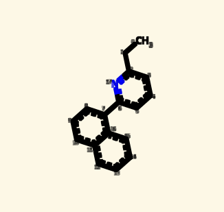 CCc1cccc(-c2cccc3ccccc23)n1